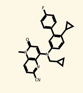 Cn1c(=O)cc(N(CC2CC2)c2ccc(C3CC3)c(-c3ccc(F)cc3)c2)c2nc(C#N)ccc21